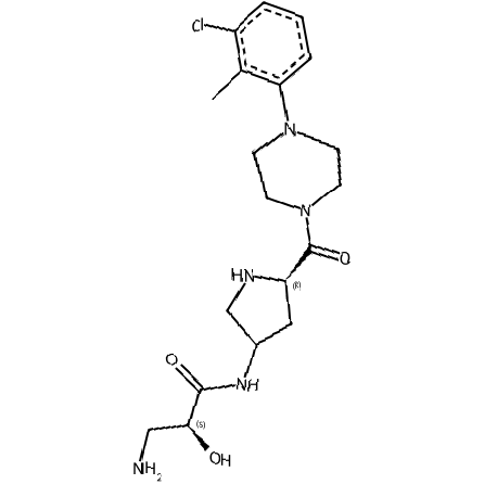 Cc1c(Cl)cccc1N1CCN(C(=O)[C@H]2CC(NC(=O)[C@@H](O)CN)CN2)CC1